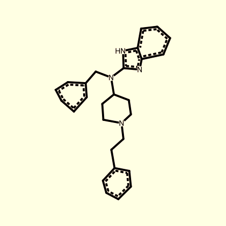 c1ccc(CCN2CCC(N(Cc3ccccc3)c3nc4ccccc4[nH]3)CC2)cc1